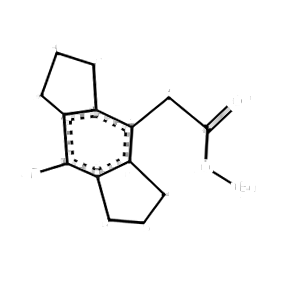 CC(C)(C)OC(=O)Cc1c2c(c(F)c3c1CCC3)CCC2